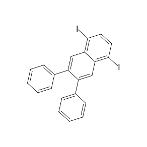 Ic1ccc(I)c2cc(-c3ccccc3)c(-c3ccccc3)cc12